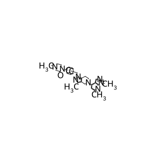 Cc1cc(N2CCc3c(c(C)nn3CC34CCC(N5CCN(C)CC5=O)(CC3)CC4)C2)c2cnn(C)c2n1